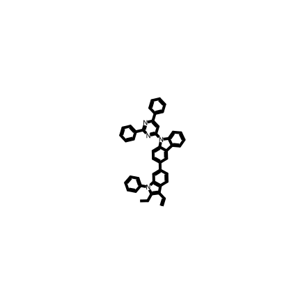 C=Cc1c(CC)n(-c2ccccc2)c2cc(-c3ccc4c(c3)c3ccccc3n4-c3cc(-c4ccccc4)nc(-c4ccccc4)n3)ccc12